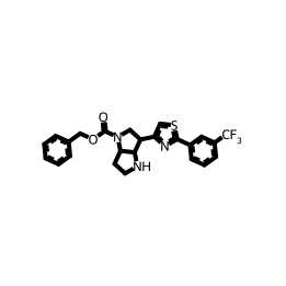 O=C(OCc1ccccc1)N1CC(c2csc(-c3cccc(C(F)(F)F)c3)n2)C2NCCC21